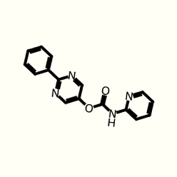 O=C(Nc1ccccn1)Oc1cnc(-c2ccccc2)nc1